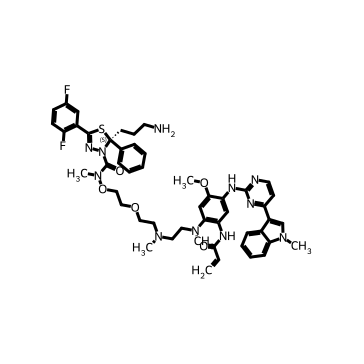 C=CC(=O)Nc1cc(Nc2nccc(-c3cn(C)c4ccccc34)n2)c(OC)cc1N(C)CCN(C)CCOCCON(C)C(=O)N1N=C(c2cc(F)ccc2F)S[C@@]1(CCCN)c1ccccc1